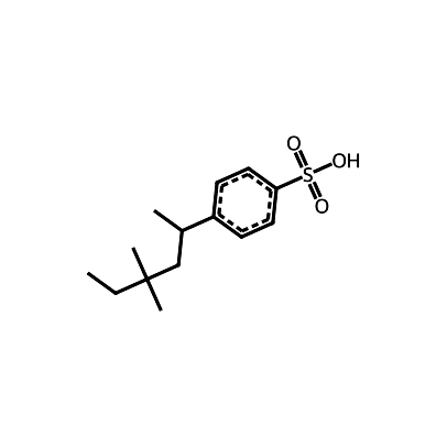 CCC(C)(C)CC(C)c1ccc(S(=O)(=O)O)cc1